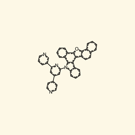 c1cncc(-c2cc(-c3ccncc3)cc(-n3c4ccccc4c4c5c6ccc7ccccc7c6oc5c5ccccc5c43)n2)c1